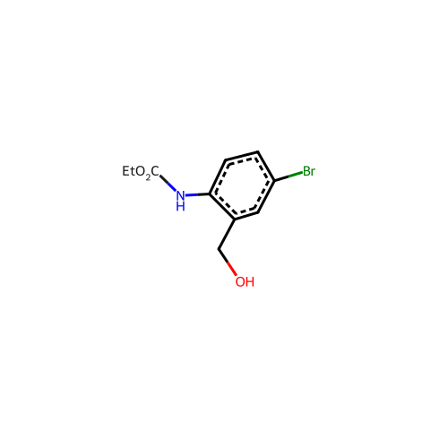 CCOC(=O)Nc1ccc(Br)cc1CO